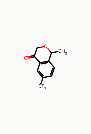 CC1OCC(=O)c2cc(C(F)(F)F)ccc21